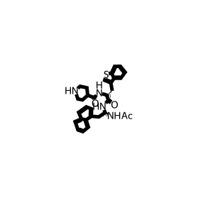 CC(=O)N[C@@H](Cc1cccc2ccccc12)NC(=O)[C@@H](Cc1csc2ccccc12)NC(=O)C1CCNCC1